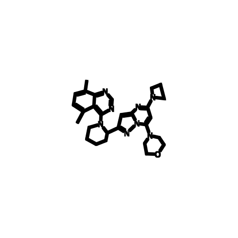 Cc1ccc(C)c2c(N3CCCCC3c3cc4nc(N5CCC5)cc(N5CCOCC5)n4n3)ncnc12